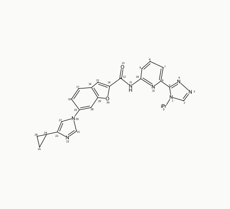 CC(C)n1cnnc1-c1cccc(NC(=O)c2cc3ccc(-n4cnc(C5CC5)c4)cc3o2)n1